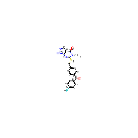 Cn1c(SCc2ccc(C(=O)c3ccc(F)cc3)cc2)nc2[nH]ncc2c1=O